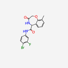 Cc1cccc2c1OCC(=O)NC2C(=O)Nc1ccc(Br)c(F)c1